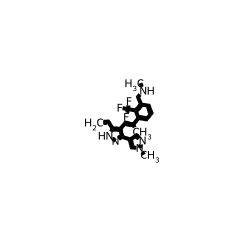 C=Cc1[nH]nc(-c2cnn(C)c2)c1/C=C(\C)c1cccc(CNC)c1C(F)(F)F